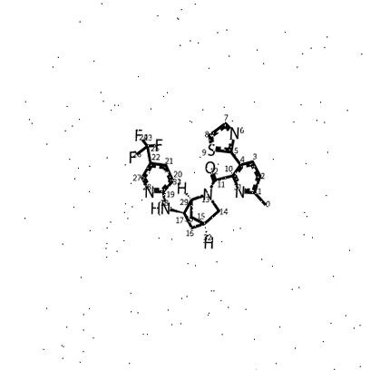 Cc1ccc(-c2nccs2)c(C(=O)N2C[C@H]3C[C@@H](Nc4ccc(C(F)(F)F)cn4)[C@@H]2C3)n1